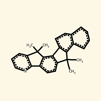 CC1(C)c2cccnc2-c2ccc3c(c21)-c1ccc2ccccc2c1C3(C)C